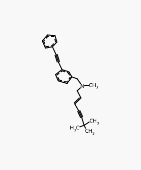 CN(C/C=C/C#CC(C)(C)C)Cc1cccc(C#Cc2ccccc2)c1